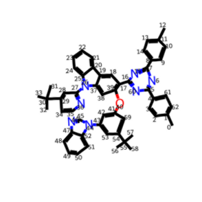 Cc1ccc(-c2nc(-c3ccc(C)cc3)nc(-c3cc4c5ccccc5n(-c5cc(C(C)(C)C)ccn5)c4cc3Oc3cc(-n4cnc5ccccc54)cc(C(C)(C)C)c3)n2)cc1